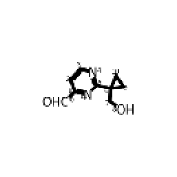 O=Cc1ccnc(C2(CO)CC2)n1